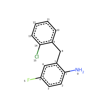 Nc1ccc(F)cc1Cc1ccccc1Cl